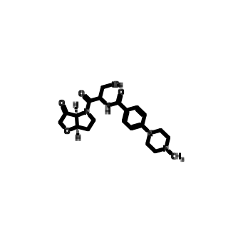 CN1CCN(c2ccc(C(=O)NC(CC(C)(C)C)C(=O)N3CC[C@H]4OCC(=O)[C@H]43)cc2)CC1